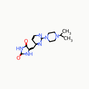 CC(C)N1CCN(c2nccc(C=C3NC(=O)NC3=O)n2)CC1